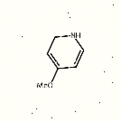 COC1=CCNC=[C]1